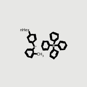 CCCCCCc1ccc([I+]c2ccccc2C)cc1.c1ccc([B-](c2ccccc2)(c2ccccc2)c2ccccc2)cc1